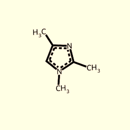 Cc1cn(C)c(C)n1